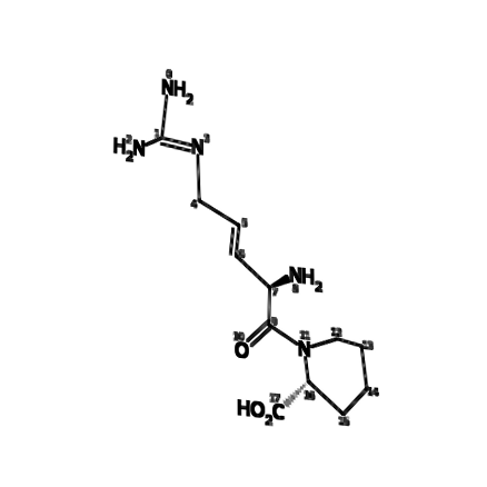 NC(N)=NC/C=C/[C@@H](N)C(=O)N1CCCC[C@@H]1C(=O)O